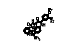 CCOc1cc(C(Nc2ccc(C(=N)N)cc2)C(=O)NNS(=O)(=O)c2ccccc2F)ccc1OC(C)C